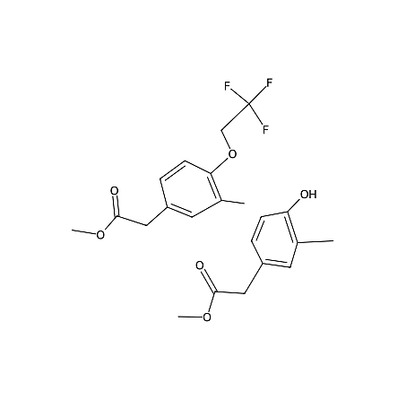 COC(=O)Cc1ccc(O)c(C)c1.COC(=O)Cc1ccc(OCC(F)(F)F)c(C)c1